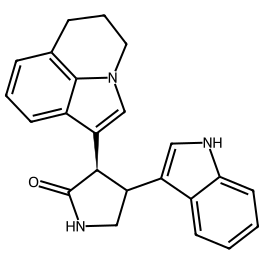 O=C1NCC(c2c[nH]c3ccccc23)[C@@H]1c1cn2c3c(cccc13)CCC2